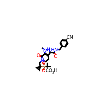 Cn1nc(C(=O)NCc2ccc(C#N)cc2)c2c1C(=O)N(CC1(S(=O)(=O)C(C)(C)C(=O)O)CC1)CC2